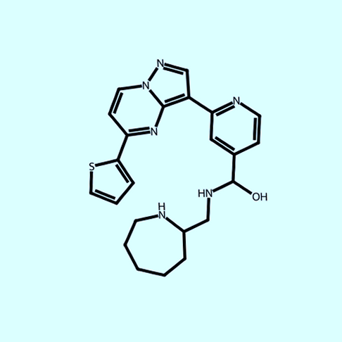 OC(NCC1CCCCCN1)c1ccnc(-c2cnn3ccc(-c4cccs4)nc23)c1